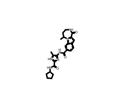 Cc1[nH]c(C(=O)NC2CCCC2)nc1NC(=O)c1ccc2cc3n(c2c1)C(C)CCNC3=O